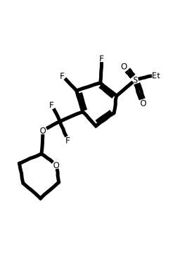 CCS(=O)(=O)c1ccc(C(F)(F)OC2CCCCO2)c(F)c1F